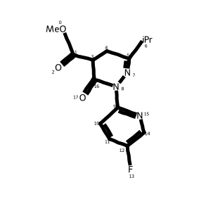 COC(=O)C1CC(C(C)C)=NN(c2ccc(F)cn2)C1=O